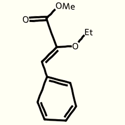 CCOC(=Cc1ccccc1)C(=O)OC